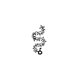 C=Cc1ccccc1[Si](C)(C)O[Si](C)(C)O[Si](C)(C)O[Si](C)(C)O[Si](C)(C)O[Si](C)(C)O[Si](C)(C)O[Si](C)(C)O[Si](C)(C)O[Si](C)(C)O[Si](C)(C)O[Si](C)(C)O[Si](C)(C)O[Si](C)(C)O[SiH](C)C